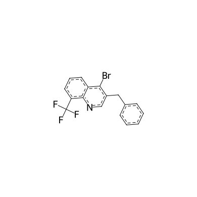 FC(F)(F)c1cccc2c(Br)c(Cc3ccccc3)cnc12